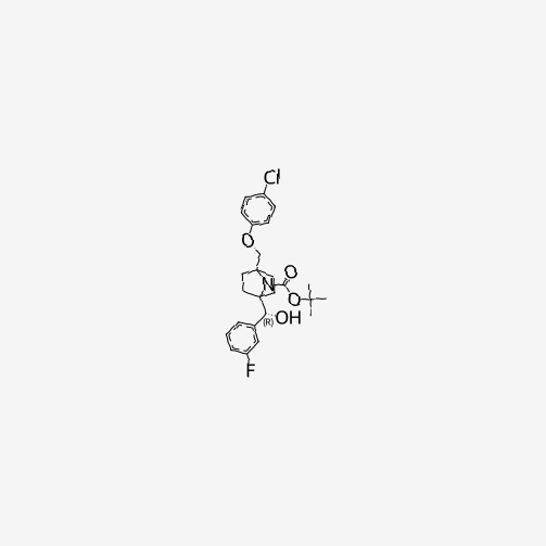 CC(C)(C)OC(=O)N1C2(COc3ccc(Cl)cc3)CCC1([C@H](O)c1cccc(F)c1)CC2